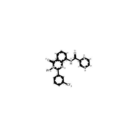 CC(C)n1c(-c2cccc(C(F)(F)F)c2)nc2c(NC(=O)c3cnccn3)cccc2c1=O